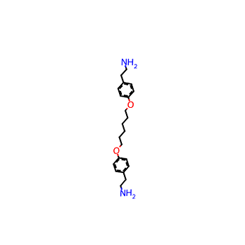 NCCc1ccc(OCCCCCCOc2ccc(CCN)cc2)cc1